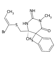 C/C=C(/Br)SC[C@@]1(C)NC(=N)N(C)C(=O)C12Cc1ccccc12